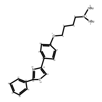 CCCCN(CCCC)CCCCOc1ccc(-c2csc(-c3ccccc3)n2)cc1